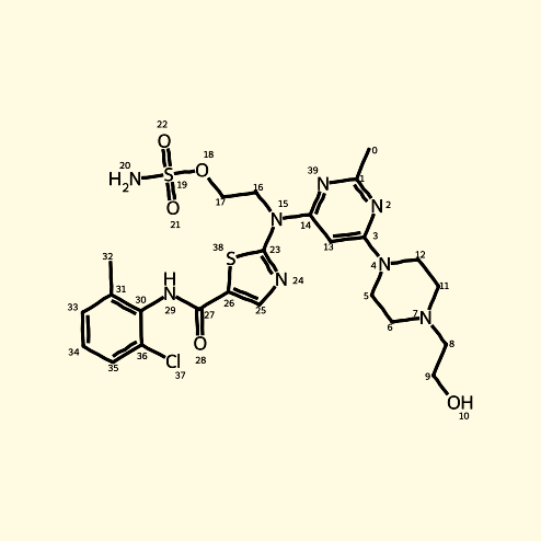 Cc1nc(N2CCN(CCO)CC2)cc(N(CCOS(N)(=O)=O)c2ncc(C(=O)Nc3c(C)cccc3Cl)s2)n1